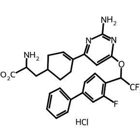 Cl.Nc1nc(OC(c2ccc(-c3ccccc3)cc2F)C(F)(F)F)cc(C2=CCC(CC(N)C(=O)O)CC2)n1